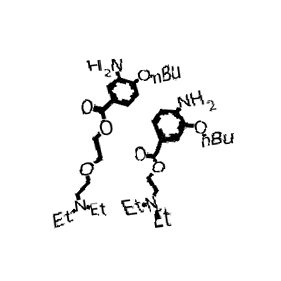 CCCCOc1cc(C(=O)OCCN(CC)CC)ccc1N.CCCCOc1ccc(C(=O)OCCOCCN(CC)CC)cc1N